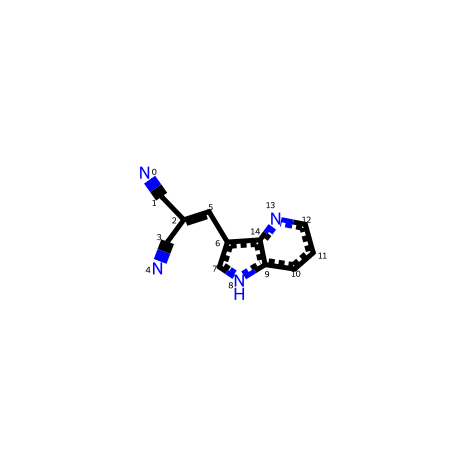 N#CC(C#N)=Cc1c[nH]c2cccnc12